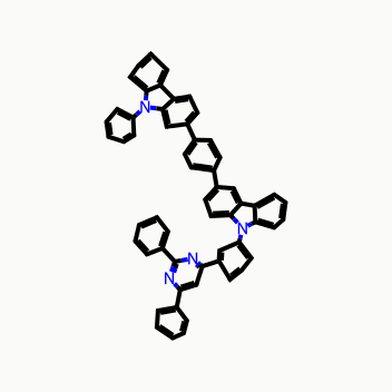 c1ccc(-c2cc(-c3cccc(-n4c5ccccc5c5cc(-c6ccc(-c7ccc8c9ccccc9n(-c9ccccc9)c8c7)cc6)ccc54)c3)nc(-c3ccccc3)n2)cc1